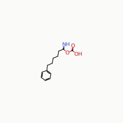 N=C(CCCCCc1ccccc1)OC(=O)O